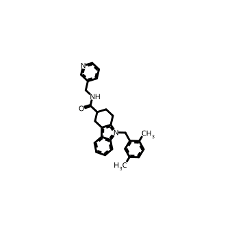 Cc1ccc(C)c(Cn2c3c(c4ccccc42)CC(C(=O)NCc2cccnc2)CC3)c1